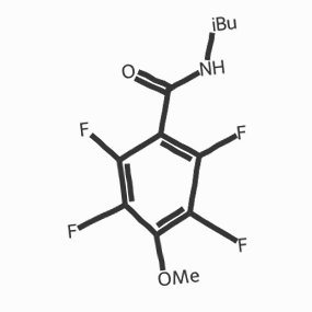 CCC(C)NC(=O)c1c(F)c(F)c(OC)c(F)c1F